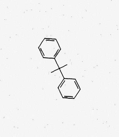 OC(F)(c1ccccc1)c1ccccc1